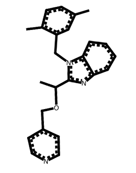 Cc1ccc(C)c(Cn2c(C(C)OCc3ccncc3)nc3ccccc32)c1